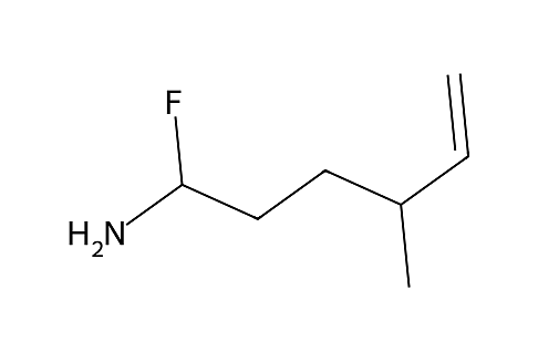 C=CC(C)CCC(N)F